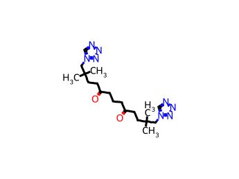 CC(C)(CCC(=O)CCCC(=O)CCC(C)(C)Cn1cnnn1)Cn1cnnn1